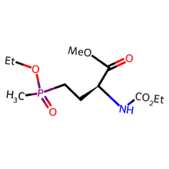 CCOC(=O)N[C@@H](CCP(C)(=O)OCC)C(=O)OC